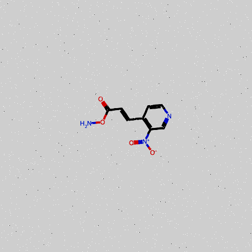 NOC(=O)C=Cc1ccncc1[N+](=O)[O-]